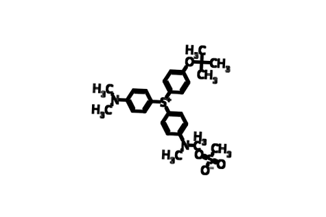 CN(C)c1ccc([S+](c2ccc(OC(C)(C)C)cc2)c2ccc(N(C)C)cc2)cc1.CS(=O)(=O)[O-]